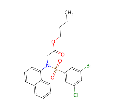 CCCCOC(=O)CN(c1cccc2ccccc12)S(=O)(=O)c1cc(Cl)cc(Br)c1